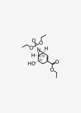 CCOC(=O)C1=C[C@H]2[C@@H]([C@@H](O)C1)N2P(=O)(OCC)OCC